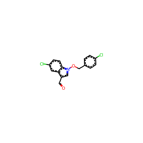 O=Cc1cn(OCc2ccc(Cl)cc2)c2ccc(Cl)cc12